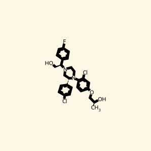 C[C@@H](O)COc1ccc(N2CCN([C@@H](CO)c3ccc(F)cc3)C[C@H]2c2ccc(Cl)cc2)c(Cl)c1